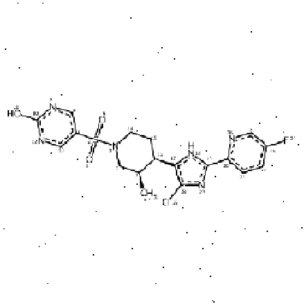 C[C@H]1CN(S(=O)(=O)c2cnc(O)nc2)CC[C@H]1c1[nH]c(-c2ccc(F)cn2)nc1Cl